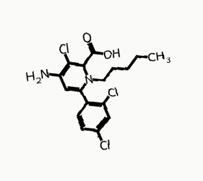 CCCCCN1C(c2ccc(Cl)cc2Cl)=CC(N)=C(Cl)C1C(=O)O